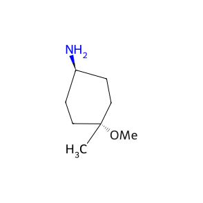 CO[C@]1(C)CC[C@@H](N)CC1